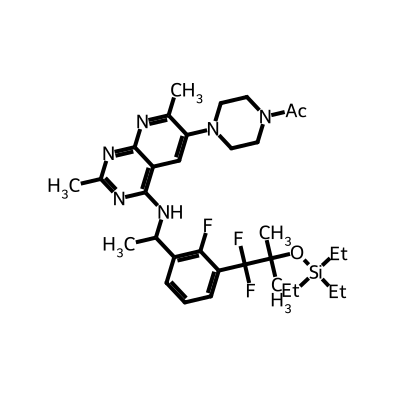 CC[Si](CC)(CC)OC(C)(C)C(F)(F)c1cccc(C(C)Nc2nc(C)nc3nc(C)c(N4CCN(C(C)=O)CC4)cc23)c1F